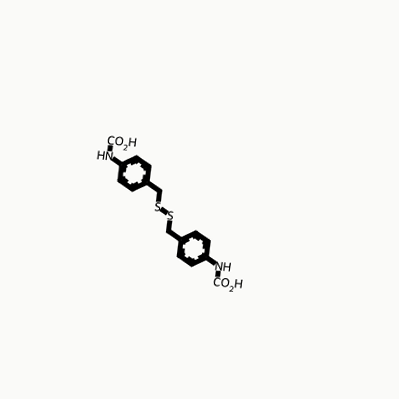 O=C(O)Nc1ccc(CSSCc2ccc(NC(=O)O)cc2)cc1